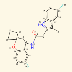 Cc1c(CC(=O)NC2CC3(CCC3)Oc3ccc(F)cc32)[nH]c2c1=CC(F)CC=2